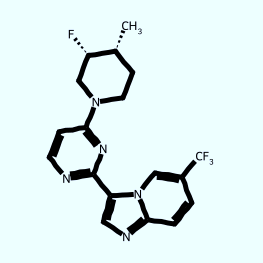 C[C@@H]1CCN(c2ccnc(-c3cnc4ccc(C(F)(F)F)cn34)n2)C[C@@H]1F